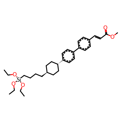 CCO[Si](CCCC[C@H]1CC[C@H](c2ccc(-c3ccc(C=CC(=O)OC)cc3)cc2)CC1)(OCC)OCC